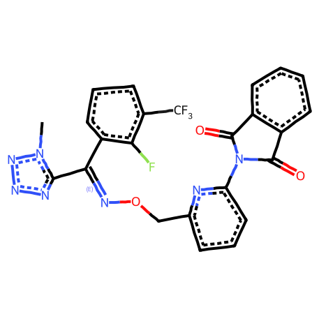 Cn1nnnc1/C(=N/OCc1cccc(N2C(=O)c3ccccc3C2=O)n1)c1cccc(C(F)(F)F)c1F